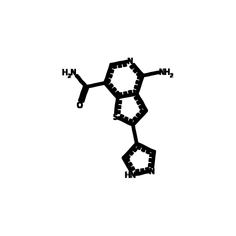 NC(=O)c1cnc(N)c2cc(-c3cn[nH]c3)sc12